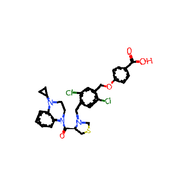 O=C(O)c1ccc(OCc2cc(Cl)c(CN3CSC[C@H]3C(=O)N3CCN(C4CC4)c4ccccc43)cc2Cl)cc1